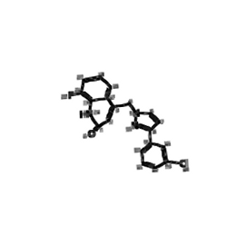 O=c1cc(Cn2ccc(-c3cccc(Cl)c3)n2)c2cccc(F)c2[nH]1